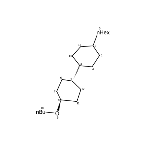 CCCCCCC1CCC([C@H]2CC[C@H](OCCCC)CC2)CC1